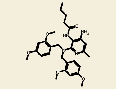 CCCCC(=O)Nc1c(N)cc(C)nc1N(Cc1ccc(OC)cc1OC)Cc1ccc(OC)cc1OC